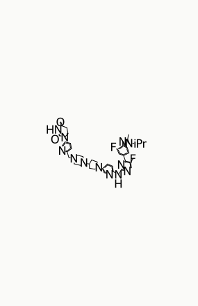 Cc1nc2c(F)cc(-c3nc(Nc4ccc(N5CCC(N6CCN(Cc7ccc(N8CCC(=O)NC8=O)cn7)CC6)CC5)cn4)ncc3F)cc2n1C(C)C